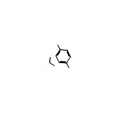 CC(C)[C@H](N)C(=O)O.O=[N+]([O-])c1ccc(F)cc1